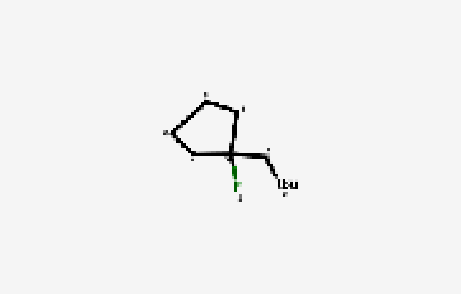 CC(C)(C)[CH]C1(F)CCCC1